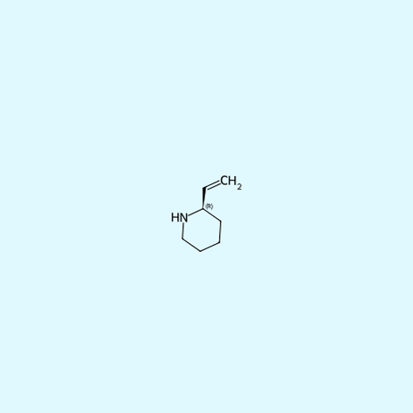 C=C[C@H]1CCCCN1